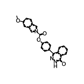 COc1ccc2cn(C(=O)Oc3ccc(-c4n[nH]c(=O)c5ccccc45)cc3)cc2c1